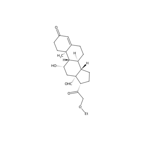 CCOCC(=O)[C@H]1CC[C@H]2[C@@H]3CCC4=CC(=O)CC[C@]4(C)[C@H]3[C@@H](O)C[C@]12C=O